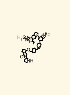 CC(=O)N1Cc2cc(C3CCN(Cc4ccc(COc5cccc6c5CN(C5CCCNC5)C6=O)cc4)CC3)cc(N3CCCc4cc(-c5cnn(C)c5)c(C(F)F)cc43)c2C1